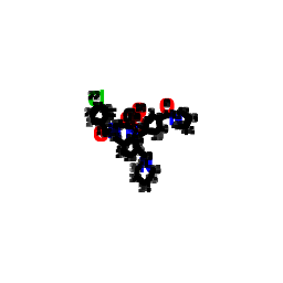 O=C(c1ccc(C[N+]2(OC(=O)C(F)(F)F)C(=O)CN(C(=O)c3ccc(Cl)cc3)Cc3ccc(CN4CCCCC4)cc32)cc1)N1CC=CC1